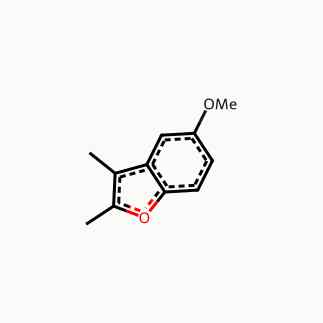 COc1ccc2oc(C)c(C)c2c1